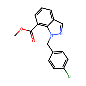 COC(=O)c1cccc2cnn(Cc3ccc(Cl)cc3)c12